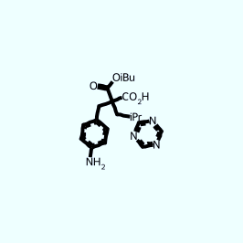 CC(C)COC(=O)C(Cc1ccc(N)cc1)(CC(C)C)C(=O)O.c1ncncn1